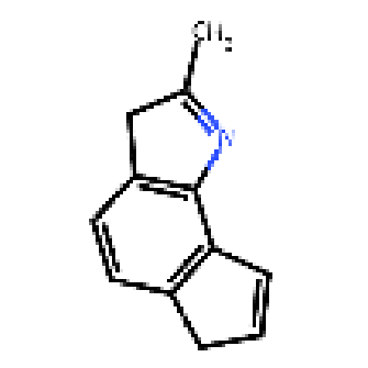 CC1=Nc2c(ccc3c2C=CC3)C1